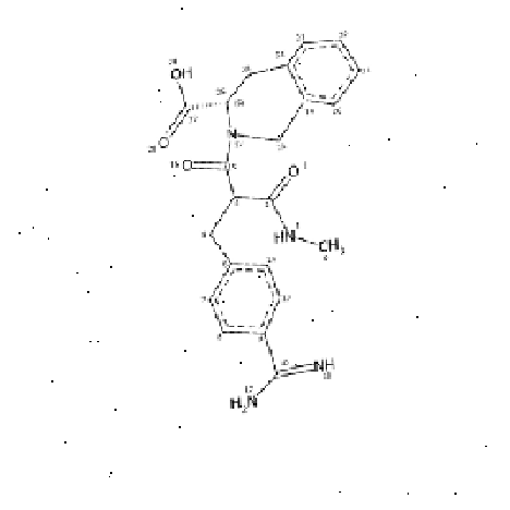 CNC(=O)C(Cc1ccc(C(=N)N)cc1)C(=O)N1Cc2ccccc2C[C@H]1C(=O)O